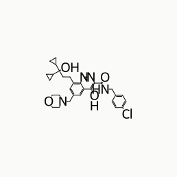 O=C(NCc1ccc(Cl)cc1)c1nnc2c(CCC(O)(C3CC3)C3CC3)cc(CN3CCOCC3)cc2c1O